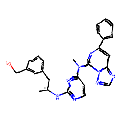 C[C@@H](Cc1cccc(CO)c1)Nc1nccc(N(C)c2nc(-c3ccccc3)cc3ncnn23)n1